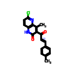 Cc1ccc(/C=C/C(=O)c2c(C)c3nc(Cl)ccc3[nH]c2=O)cc1